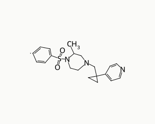 CC1CN(CC2(c3ccncc3)CC2)CCN1S(=O)(=O)c1cc[c]cc1